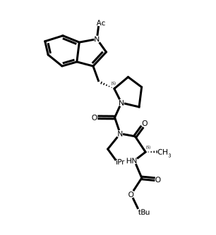 CC(=O)n1cc(C[C@@H]2CCCN2C(=O)N(CC(C)C)C(=O)[C@H](C)NC(=O)OC(C)(C)C)c2ccccc21